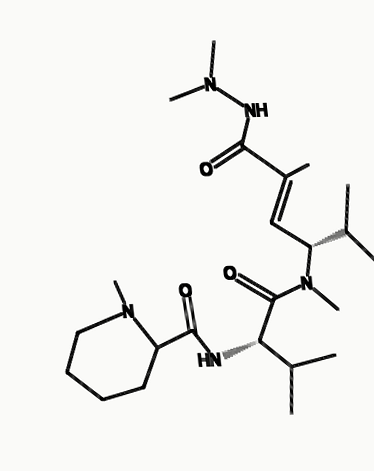 C/C(=C\[C@H](C(C)C)N(C)C(=O)[C@@H](NC(=O)C1CCCCN1C)C(C)C)C(=O)NN(C)C